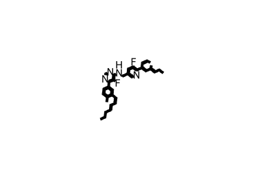 C\C=C/C(=C\C(C)=C\CC)c1ncc(CNc2ncnc(-c3ccc(C)c(/C=C\C=C\CCC)c3)c2F)cc1F